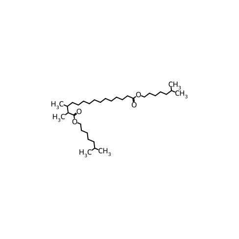 CC(C)CCCCCOC(=O)CCCCCCCCCCCC(C)C(C)C(=O)OCCCCCC(C)C